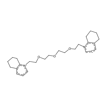 c1cc2c([n+](CCOCCOCCOCC[n+]3cccc4c3CCCC4)c1)CCCC2